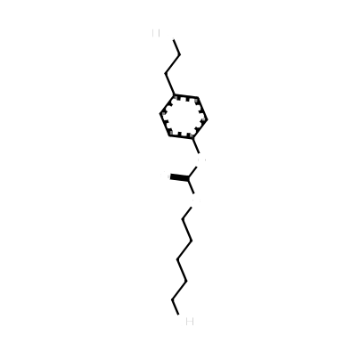 CCCCCCOC(=O)Oc1ccc(CCC)cc1